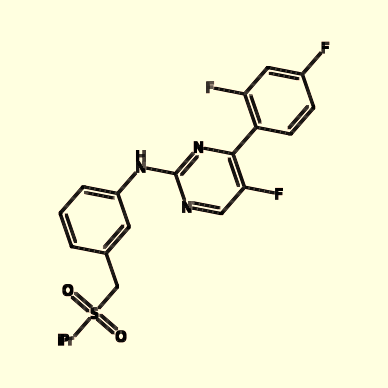 CC(C)S(=O)(=O)Cc1cccc(Nc2ncc(F)c(-c3ccc(F)cc3F)n2)c1